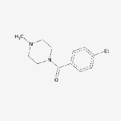 CCc1ccc(C(=O)N2CCN(C)CC2)cc1